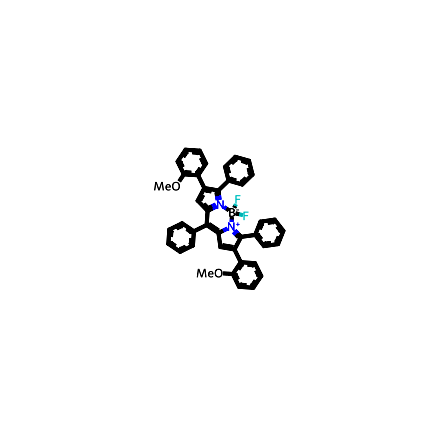 COc1ccccc1C1=CC2=C(c3ccccc3)c3cc(-c4ccccc4OC)c(-c4ccccc4)n3[B-](F)(F)[N+]2=C1c1ccccc1